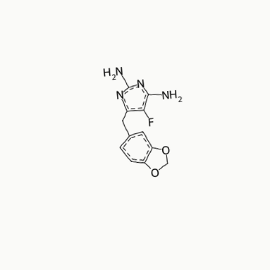 Nc1nc(N)c(F)c(Cc2ccc3c(c2)OCO3)n1